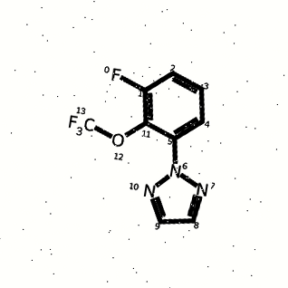 Fc1c[c]cc(-n2nccn2)c1OC(F)(F)F